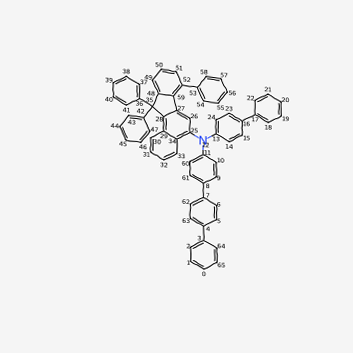 c1ccc(-c2ccc(-c3ccc(N(c4ccc(-c5ccccc5)cc4)c4cc5c(c6ccccc46)C(c4ccccc4)(c4ccccc4)c4cccc(-c6ccccc6)c4-5)cc3)cc2)cc1